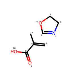 C1=NCCO1.C=C(C)C(=O)O